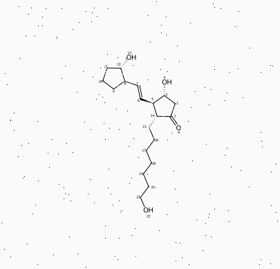 O=C1C[C@@H](O)[C@H](/C=C/C2CCC[C@@H]2O)[C@H]1CCCCCCCO